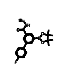 CC(C)(C)NC(=O)c1cc(B2OC(C)(C)C(C)(C)O2)cc(-c2ccc(F)cc2)c1